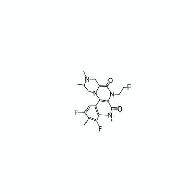 Cc1c(F)cc2c3c(c(=O)n(C)c2c1F)N(CCF)C(=O)C1CN(C)C(C)CN31